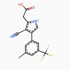 N#Cc1c(-c2cc(I)cc(C(F)(F)F)c2)c[nH]c1CC(=O)O